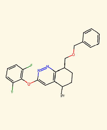 CC(C)C1CCC(COCc2ccccc2)c2nnc(Oc3c(F)cccc3F)cc21